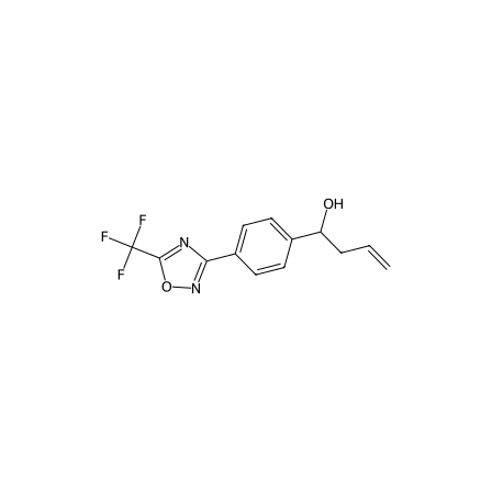 C=CCC(O)c1ccc(-c2noc(C(F)(F)F)n2)cc1